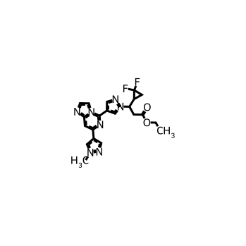 CCOC(=O)CC(C1CC1(F)F)n1cc(-c2nc(-c3cnn(C)c3)cc3nccn23)cn1